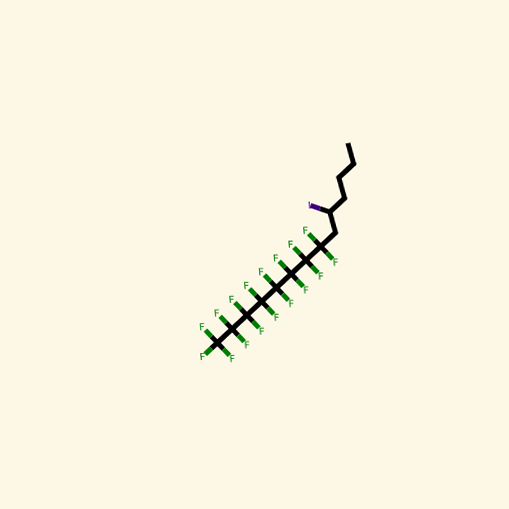 CCCCC(I)CC(F)(F)C(F)(F)C(F)(F)C(F)(F)C(F)(F)C(F)(F)C(F)(F)C(F)(F)F